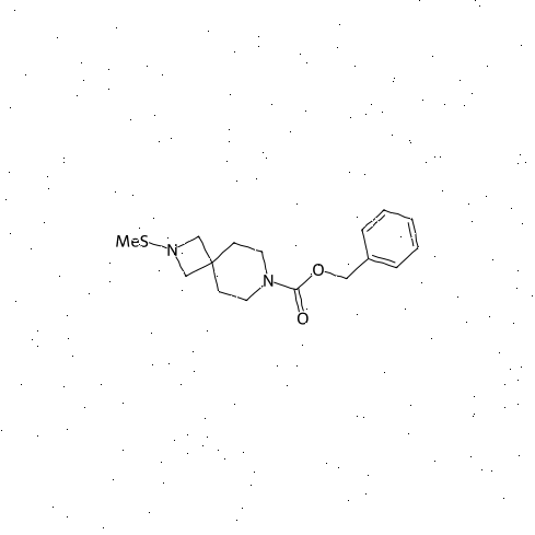 CSN1CC2(CCN(C(=O)OCc3ccccc3)CC2)C1